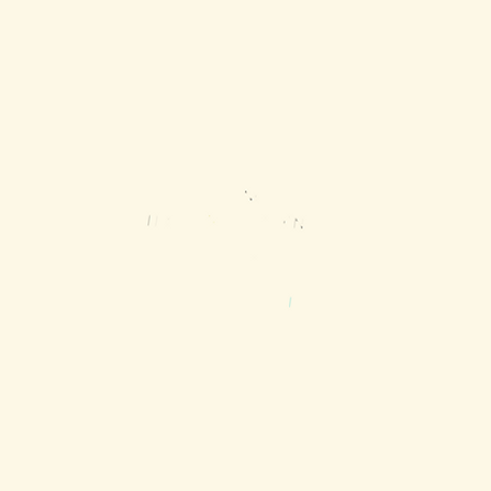 Cc1cc2c(s1)C(=C(C#N)C#N)C1=C2CC(F)C(F)=C1